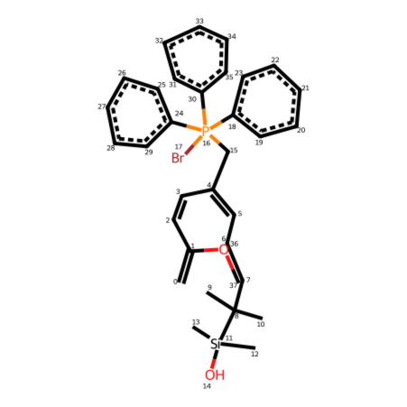 C=C(/C=C\C(=C/CCC(C)(C)[Si](C)(C)O)CP(Br)(c1ccccc1)(c1ccccc1)c1ccccc1)OC